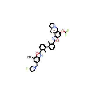 Cc1c(-c2nc3cc(CN4CCC[C@H]4C(=O)O)c(OC(F)F)cc3o2)cccc1-c1cccc(-c2nc3cc(CN4CC[C@H](F)C4)cc(C#N)c3o2)c1C